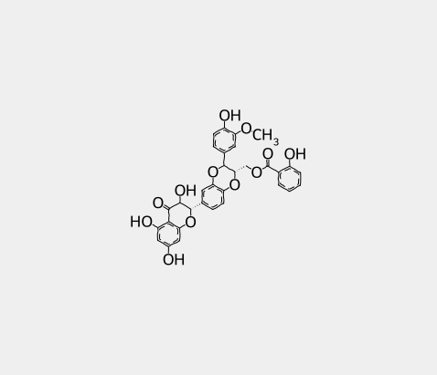 COc1cc(C2Oc3cc([C@@H]4Oc5cc(O)cc(O)c5C(=O)C4O)ccc3O[C@H]2COC(=O)c2ccccc2O)ccc1O